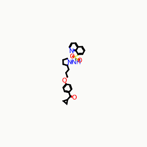 O=C(c1ccc(OCCCC2CCCN2NS(=O)(=O)c2cccc3cccnc23)cc1)C1CC1